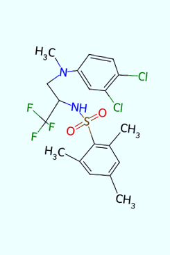 Cc1cc(C)c(S(=O)(=O)NC(CN(C)c2ccc(Cl)c(Cl)c2)C(F)(F)F)c(C)c1